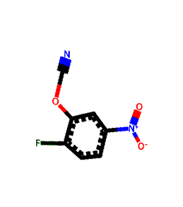 N#COc1cc([N+](=O)[O-])ccc1F